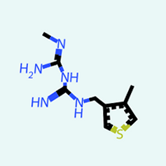 C/N=C(\N)NC(=N)NCc1cscc1C